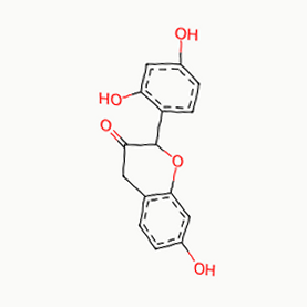 O=C1Cc2ccc(O)cc2OC1c1ccc(O)cc1O